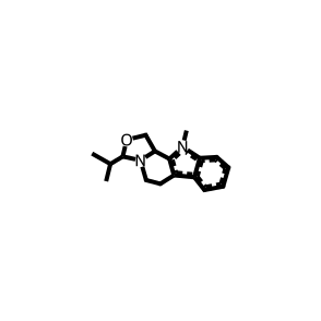 CC(C)C1OCC2c3c(c4ccccc4n3C)CCN21